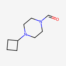 O=CN1CCN(C2CCC2)CC1